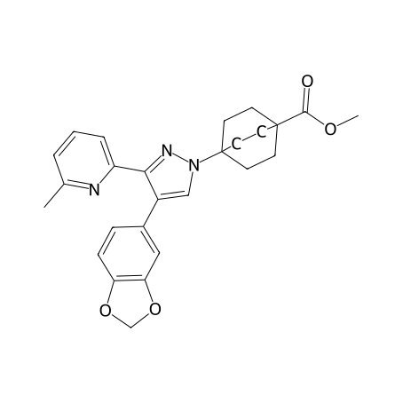 COC(=O)C12CCC(n3cc(-c4ccc5c(c4)OCO5)c(-c4cccc(C)n4)n3)(CC1)CC2